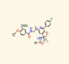 COc1cc(C(=O)NC[C@@H](C)c2cc3c(c(-c4ccc(F)cc4)n2)OC[C@@]3(N[S@+]([O-])C(C)C)C(F)(F)F)ccc1OC1CC1